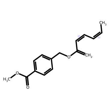 C=C(/C=C\C=C/C)OCc1ccc(C(=O)OC)cc1